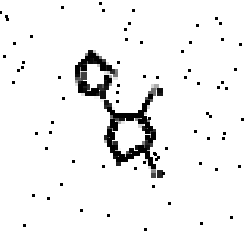 CC(C)c1cc(O)ccc1-n1cccn1